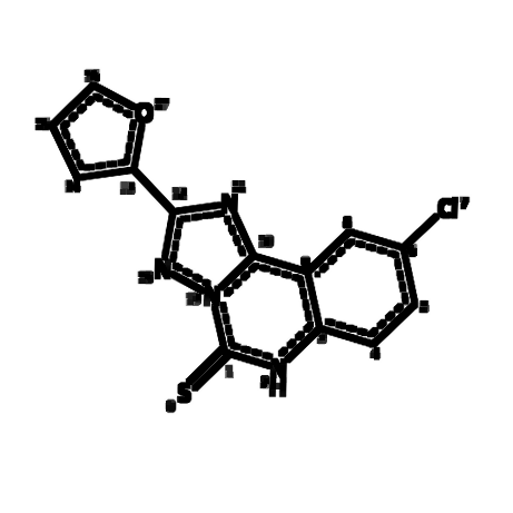 S=c1[nH]c2ccc(Cl)cc2c2nc(-c3ccco3)nn12